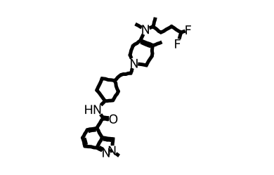 CC1=C(N(C)C(C)CCC(F)F)CCN(CCC2CCC(NC(=O)c3cccc4nn(C)cc34)CC2)CC1